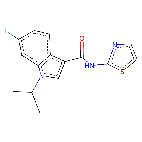 CC(C)n1cc(C(=O)Nc2nccs2)c2ccc(F)cc21